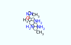 C[C@H]1CC[C@]2(N)C3CCC[C@@]4(C)C(CC[C@@H]4C(=O)c4nccn4C)[C@]3(N)CC[C@]2(N)C1